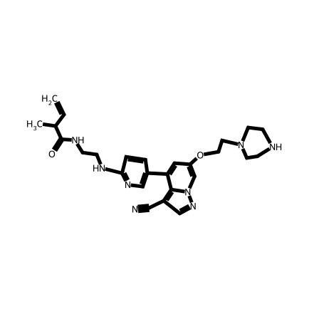 C=CC(C)C(=O)NCCNc1ccc(-c2cc(OCCN3CCNCC3)cn3ncc(C#N)c23)cn1